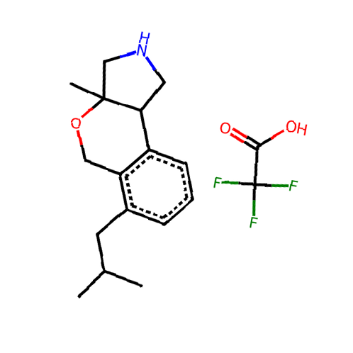 CC(C)Cc1cccc2c1COC1(C)CNCC21.O=C(O)C(F)(F)F